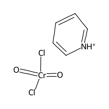 [O]=[Cr](=[O])([Cl])[Cl].c1cc[nH+]cc1